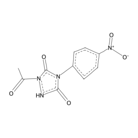 CC(=O)n1[nH]c(=O)n(-c2ccc([N+](=O)[O-])cc2)c1=O